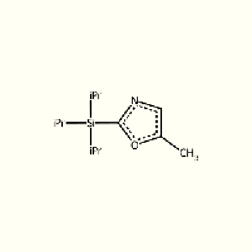 Cc1cnc([Si](C(C)C)(C(C)C)C(C)C)o1